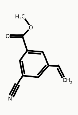 C=[C]c1cc(C#N)cc(C(=O)OC)c1